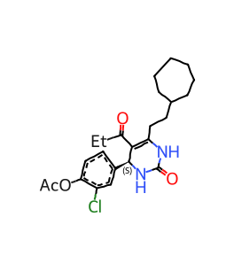 CCC(=O)C1=C(CCC2CCCCCC2)NC(=O)N[C@H]1c1ccc(OC(C)=O)c(Cl)c1